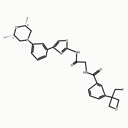 C[C@@H]1CN(c2cccc(-c3csc(NC(=O)CNC(=O)c4cccc(C5(CF)COC5)c4)n3)c2)C[C@H](C)O1